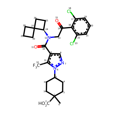 CC1(C(=O)O)CCC(n2ncc(C(=O)N(CC(=O)c3c(Cl)cccc3Cl)[C@@H]3CCC34CCC4)c2C(F)(F)F)CC1